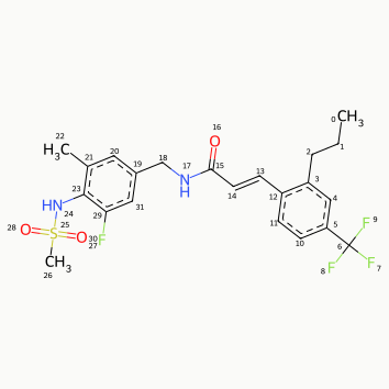 CCCc1cc(C(F)(F)F)ccc1C=CC(=O)NCc1cc(C)c(NS(C)(=O)=O)c(F)c1